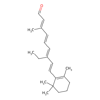 CCC(/C=C/C1=C(C)CCCC1(C)C)=C\C=C\C(C)=C\C=O